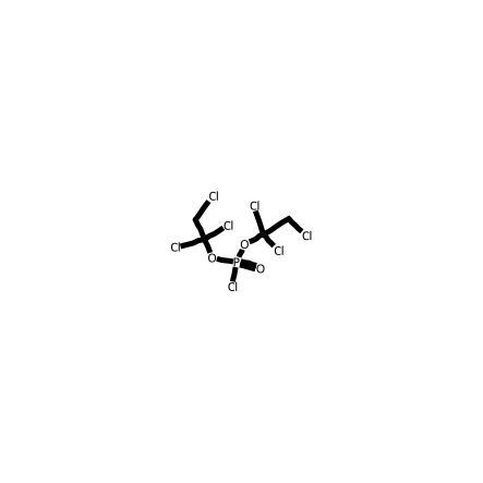 O=P(Cl)(OC(Cl)(Cl)CCl)OC(Cl)(Cl)CCl